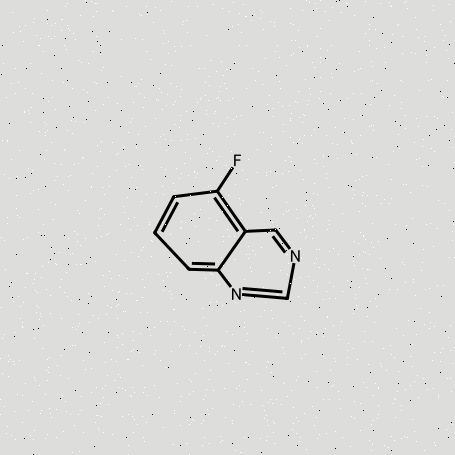 Fc1cccc2ncncc12